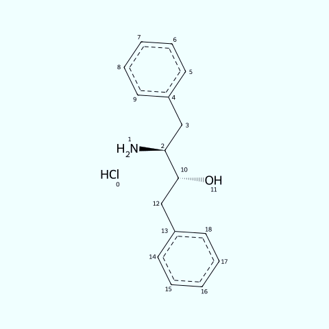 Cl.N[C@@H](Cc1ccccc1)[C@H](O)Cc1ccccc1